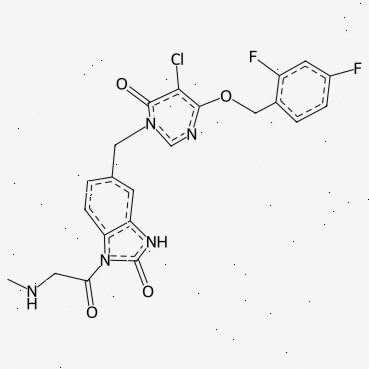 CNCC(=O)n1c(=O)[nH]c2cc(Cn3cnc(OCc4ccc(F)cc4F)c(Cl)c3=O)ccc21